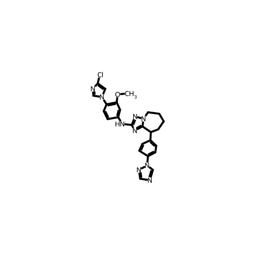 COc1cc(Nc2nc3n(n2)CCCCC3c2ccc(-n3cncn3)cc2)ccc1-n1cnc(Cl)c1